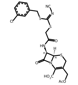 CC(=O)OCC1=C(C(=O)O)N2C(=O)[C@@H](NC(=O)CSC(=NC#N)SCc3cccc(Cl)c3)[C@H]2SC1